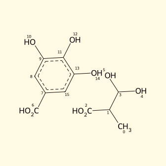 CC(C(=O)O)C(O)O.O=C(O)c1cc(O)c(O)c(O)c1